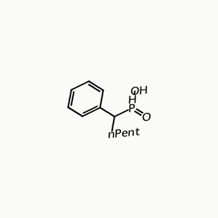 CCCCCC(c1ccccc1)[PH](=O)O